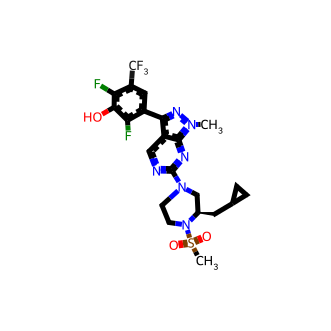 Cn1nc(-c2cc(C(F)(F)F)c(F)c(O)c2F)c2cnc(N3CCN(S(C)(=O)=O)[C@H](CC4CC4)C3)nc21